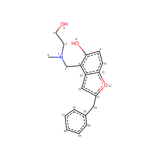 CN(CCO)Cc1c(O)ccc2oc(Cc3ccccc3)cc12